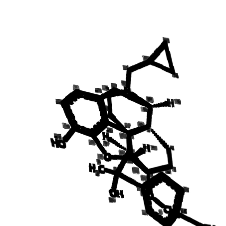 CO[C@]12CC[C@@]3(C[C@@H]1C(C)(O)c1ccc(C)cc1)[C@H]1Cc4ccc(O)c5c4[C@@]3(CCN1CC1CC1)[C@H]2O5